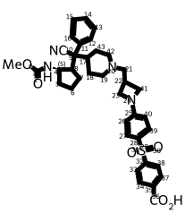 COC(=O)N[C@H]1CCCC1C(C#N)(c1ccccc1)C1CCN(CC2CN(c3ccc(S(=O)(=O)c4ccc(C(=O)O)cc4)cc3)C2)CC1